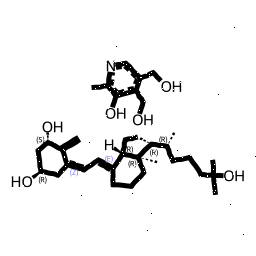 C=C1/C(=C\C=C2/CCC[C@]3(C)[C@@H]([C@H](C)CCCC(C)(C)O)CC[C@@H]23)C[C@@H](O)C[C@@H]1O.Cc1ncc(CO)c(CO)c1O